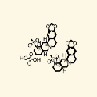 CS(=O)(=O)N1CCC[C@@H]2CN3CCc4cc5c(cc4[C@@H]3C[C@@H]21)OCO5.CS(=O)(=O)N1CCC[C@@H]2CN3CCc4cc5c(cc4[C@@H]3C[C@@H]21)OCO5.O=S(=O)(O)O